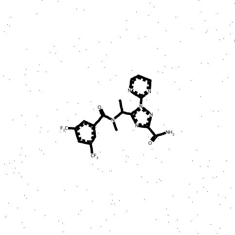 CC(c1nc(C(N)=O)nn1-c1ncccn1)N(C)C(=O)c1cc(C(F)(F)F)cc(C(F)(F)F)c1